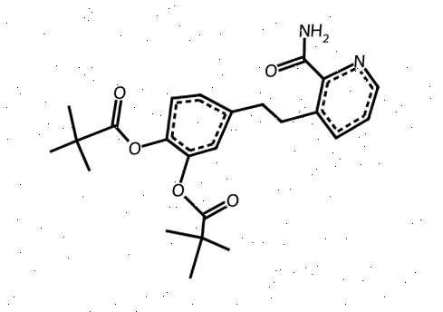 CC(C)(C)C(=O)Oc1ccc(CCc2cccnc2C(N)=O)cc1OC(=O)C(C)(C)C